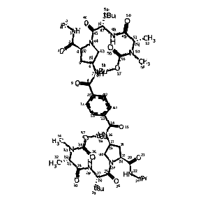 CC(C)NC(=O)[C@@H]1C[C@H](NC(=O)c2ccc(C(=O)N[C@H]3C[C@@H](C(=O)NC(C)C)N(C(=O)[C@@H](NC(=O)[C@H](C)N(C)C(=O)OC(C)(C)C)C(C)(C)C)C3)cc2)CN1C(=O)[C@@H](NC(=O)[C@H](C)N(C)C(=O)OC(C)(C)C)C(C)(C)C